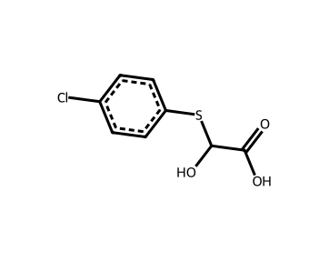 O=C(O)C(O)Sc1ccc(Cl)cc1